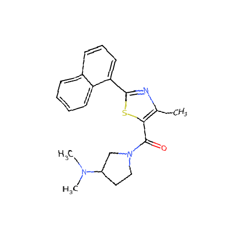 Cc1nc(-c2cccc3ccccc23)sc1C(=O)N1CCC(N(C)C)C1